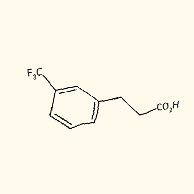 O=C(O)CCc1cccc(C(F)(F)F)c1